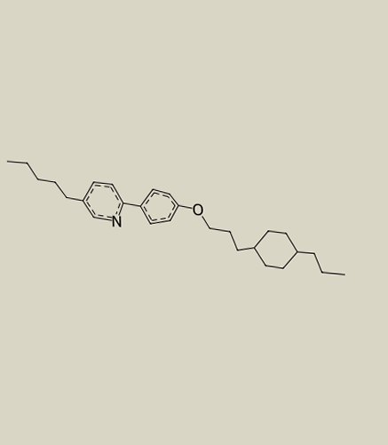 CCCCCc1ccc(-c2ccc(OCCCC3CCC(CCC)CC3)cc2)nc1